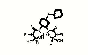 CCN(C(=S)N(CC)P(=O)(O)O)c1ccc(Sc2ccccc2)cc1N(CC)C(=S)N(CC)P(=O)(O)O